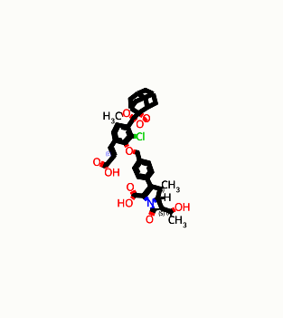 COC1(c2ccc(/C=C/C(=O)O)c(OCc3ccc(C4=C(C(=O)O)N5C(=O)[C@H]([C@@H](C)O)[C@H]5[C@H]4C)cc3)c2Cl)OOC12C1CC3CC(C1)CC2C3